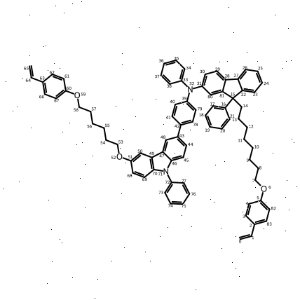 C=Cc1ccc(OCCCCCCCCC2(c3ccccc3)c3ccccc3-c3ccc(N(c4ccccc4)c4ccc(-c5ccc6c(c5)c5cc(OCCCCCCOc7ccc(C=C)cc7)ccc5n6-c5ccccc5)cc4)cc32)cc1